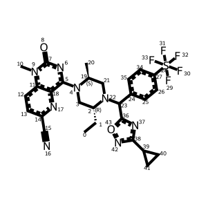 CC[C@@H]1CN(c2nc(=O)n(C)c3ccc(C#N)nc23)[C@@H](C)CN1C(c1ccc(S(F)(F)(F)(F)F)cc1)c1nc(C2CC2)no1